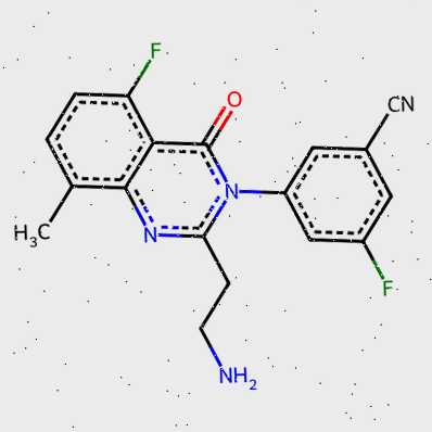 Cc1ccc(F)c2c(=O)n(-c3cc(F)cc(C#N)c3)c(CCN)nc12